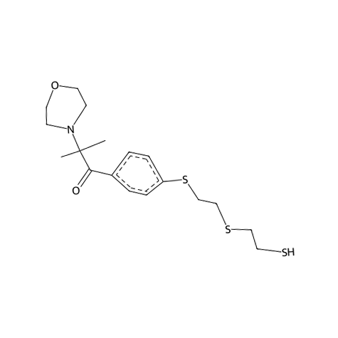 CC(C)(C(=O)c1ccc(SCCSCCS)cc1)N1CCOCC1